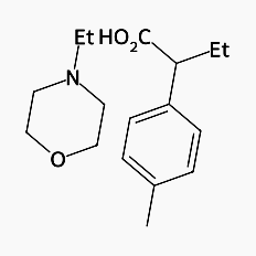 CCC(C(=O)O)c1ccc(C)cc1.CCN1CCOCC1